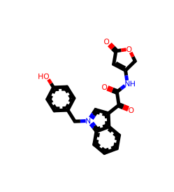 O=C1C=C(NC(=O)C(=O)c2cn(Cc3ccc(O)cc3)c3ccccc23)CO1